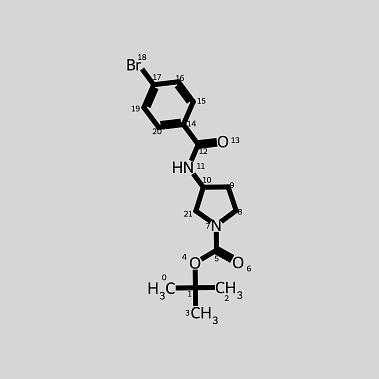 CC(C)(C)OC(=O)N1CCC(NC(=O)c2ccc(Br)cc2)C1